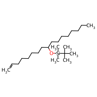 C=CCCCCCCC(CCCCCCCC)O[Si](C)(C)C(C)(C)C